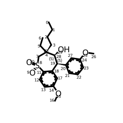 CCCC[C@]1(CC)CS(=O)(=O)c2ccc(OC)cc2[C@H](c2cccc(OC)c2)[C@@H]1O